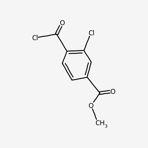 COC(=O)c1ccc(C(=O)Cl)c(Cl)c1